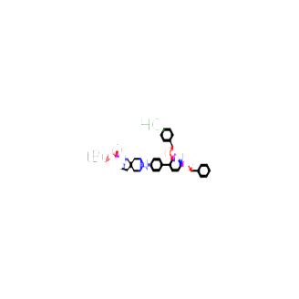 CC(C)(C)OC(=O)N1CCC2(CCN(c3ccc(-c4ccc(OCc5ccccc5)nc4OCc4ccccc4)cc3)CC2)C1.Cl